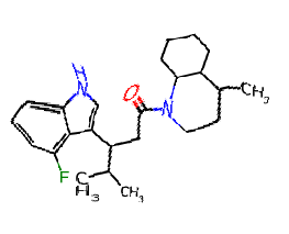 CC(C)C(CC(=O)N1CCC(C)C2CCCCC21)c1c[nH]c2cccc(F)c12